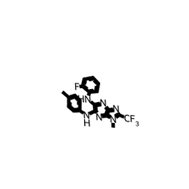 Cc1ccc(Nc2nc3c(nc2Nc2ccccc2F)nc(C(F)(F)F)n3C)cc1